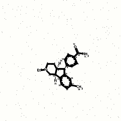 CCN1CC[C@H]2[C@H](c3ccc(C(N)=O)cc3)c3cc(C)ccc3[C@H]2C1